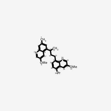 COc1cnc2cc(C)cc(C(C)CCc3ccc(C(C)C)c4cc(OC)cnc34)c2c1